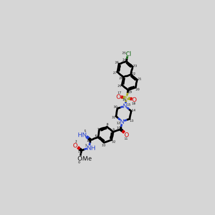 COC(=O)NC(=N)c1ccc(C(=O)N2CCN(S(=O)(=O)c3ccc4cc(Cl)ccc4c3)CC2)cc1